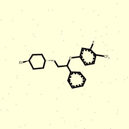 CC[C@H]1CC[C@H](CCC(Oc2ccc(C(F)(F)F)c(F)c2)c2ccccc2)CC1